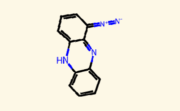 [N-]=[N+]=c1cccc2[nH]c3ccccc3nc1-2